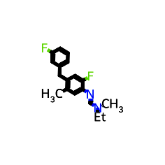 CCN(C)C=Nc1cc(C)c(Cc2cccc(F)c2)cc1F